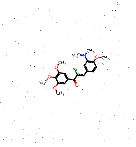 COc1ccc(C=C(Br)C(=O)c2cc(OC)c(OC)c(OC)c2)cc1N(C)C